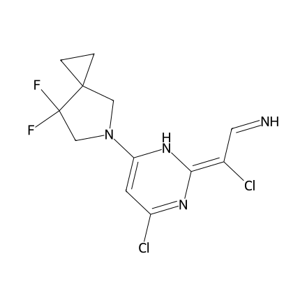 N=C/C(Cl)=C1/N=C(Cl)C=C(N2CC(F)(F)C3(CC3)C2)N1